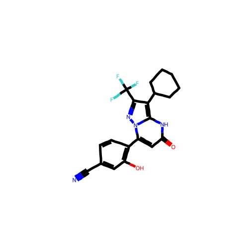 N#Cc1ccc(-c2cc(=O)[nH]c3c(C4CCCCC4)c(C(F)(F)F)nn23)c(O)c1